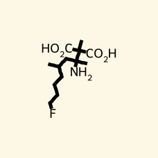 CC(CCCCF)CC(C)(N)C(C)(C(=O)O)C(=O)O